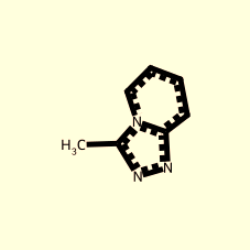 Cc1nnc2ccccn12